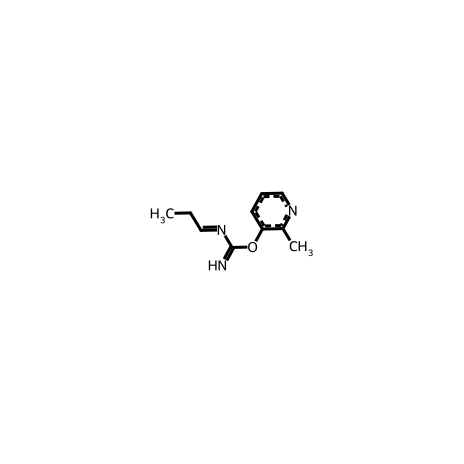 CC/C=N/C(=N)Oc1cccnc1C